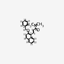 CN(C)C(=O)C=Cc1c(OCc2ccccc2)ccc2ccccc12